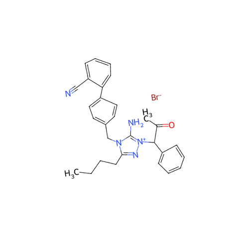 CCCCc1n[n+](C(C(C)=O)c2ccccc2)c(N)n1Cc1ccc(-c2ccccc2C#N)cc1.[Br-]